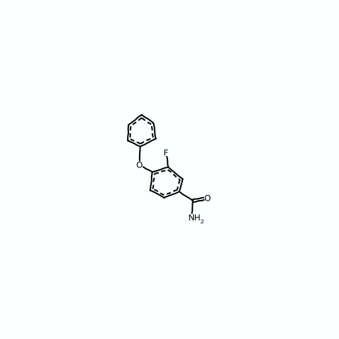 NC(=O)c1ccc(Oc2ccccc2)c(F)c1